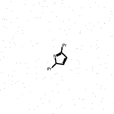 CC(C)C1=NC(C(C)C)C=C1